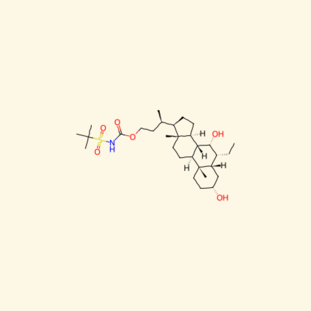 CC[C@H]1[C@@H](O)[C@@H]2[C@H](CC[C@]3(C)[C@@H]([C@H](C)CCOC(=O)NS(=O)(=O)C(C)(C)C)CC[C@@H]23)[C@@]2(C)CC[C@@H](O)C[C@@H]12